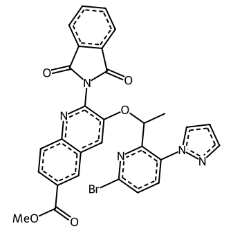 COC(=O)c1ccc2nc(N3C(=O)c4ccccc4C3=O)c(OC(C)c3nc(Br)ccc3-n3cccn3)cc2c1